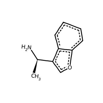 C[C@@H](N)c1coc2ccccc12